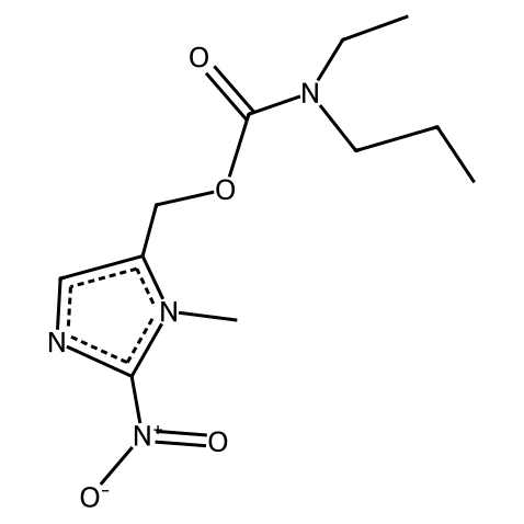 CCCN(CC)C(=O)OCc1cnc([N+](=O)[O-])n1C